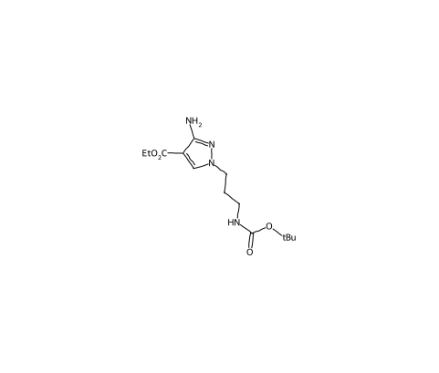 CCOC(=O)c1cn(CCCNC(=O)OC(C)(C)C)nc1N